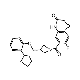 O=C1COc2cc(F)c(C(=O)N3CC(COc4ccccc4C4CCCC4)C3)cc2N1